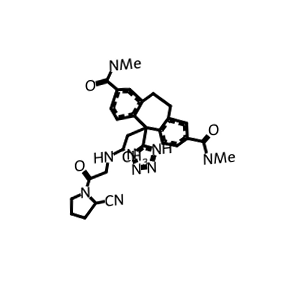 CNC(=O)c1ccc2c(c1)CCc1cc(C(=O)NC)ccc1C2(C[C@@H](C)NCC(=O)N1CCCC1C#N)c1nnn[nH]1